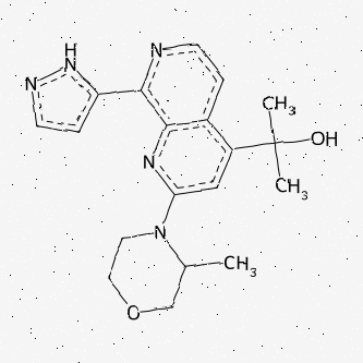 CC1COCCN1c1cc(C(C)(C)O)c2ccnc(-c3ccn[nH]3)c2n1